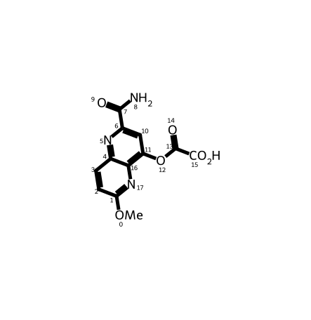 COc1ccc2nc(C(N)=O)cc(OC(=O)C(=O)O)c2n1